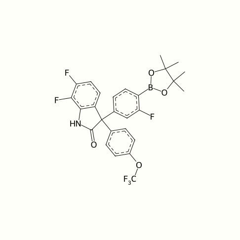 CC1(C)OB(c2ccc(C3(c4ccc(OC(F)(F)F)cc4)C(=O)Nc4c3ccc(F)c4F)cc2F)OC1(C)C